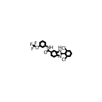 O=C(Nc1cccc(OC(F)(F)F)c1)c1ccc2nc(-c3c(Cl)cccc3Cl)[nH]c2c1